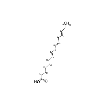 CCC=CCC=CCC=CCCCCCC(=O)O